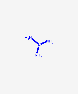 NN(N)N